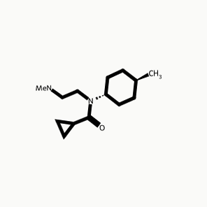 CNCCN(C(=O)C1CC1)[C@H]1CC[C@H](C)CC1